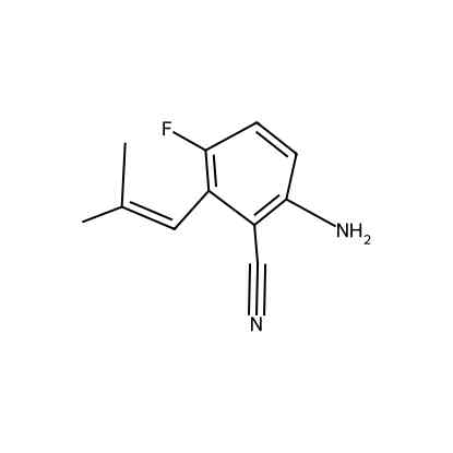 CC(C)=Cc1c(F)ccc(N)c1C#N